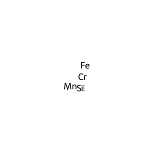 [Cr].[Fe].[Mn].[Si]